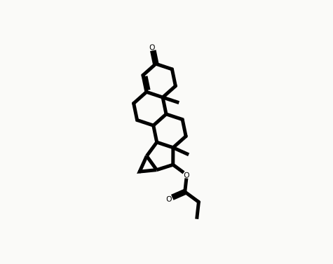 CCC(=O)OC1C2CC2C2C3CCC4=CC(=O)CCC4(C)C3CCC12C